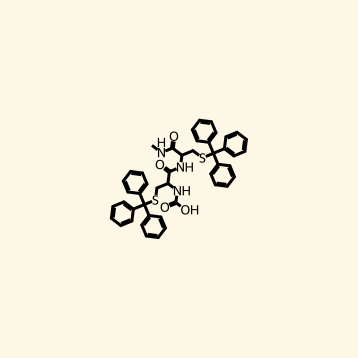 CNC(=O)C(CSC(c1ccccc1)(c1ccccc1)c1ccccc1)NC(=O)C(CSC(c1ccccc1)(c1ccccc1)c1ccccc1)NC(=O)O